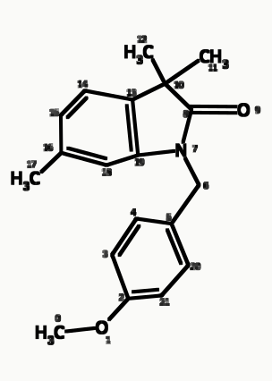 COc1ccc(CN2C(=O)C(C)(C)c3ccc(C)cc32)cc1